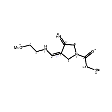 COCCN/C=C1/CN(C(=O)OC(C)(C)C)CC1=N